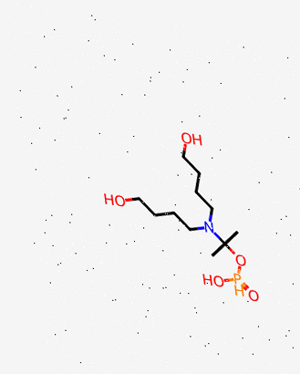 CC(C)(O[PH](=O)O)N(CCCCO)CCCCO